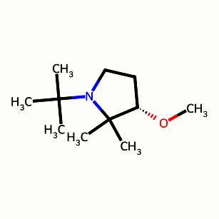 CO[C@H]1CCN(C(C)(C)C)C1(C)C